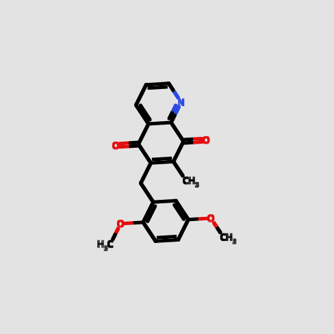 COc1ccc(OC)c(CC2=C(C)C(=O)c3ncccc3C2=O)c1